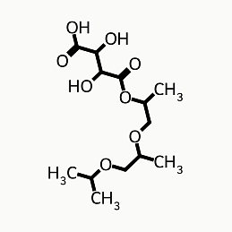 CC(C)OCC(C)OCC(C)OC(=O)C(O)C(O)C(=O)O